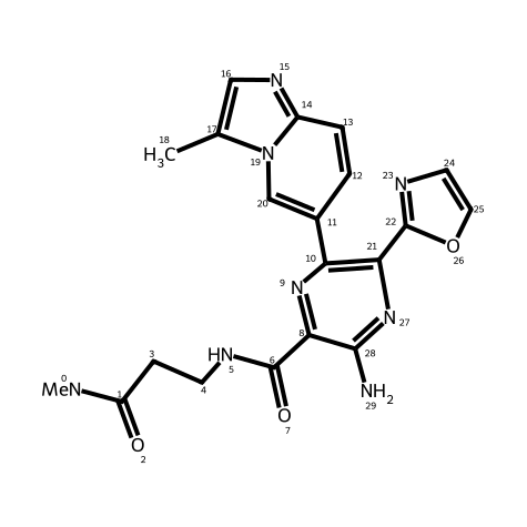 CNC(=O)CCNC(=O)c1nc(-c2ccc3ncc(C)n3c2)c(-c2ncco2)nc1N